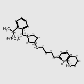 CC(C)O[C@@H](C)c1ccccc1[C@@H](C(=O)O)N1CC[C@@H](OCCCCc2ccc3c(n2)NCCC3)C1